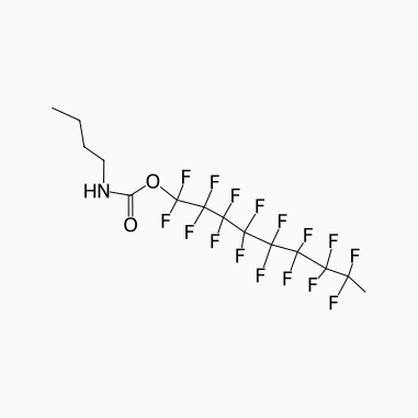 CCCCNC(=O)OC(F)(F)C(F)(F)C(F)(F)C(F)(F)C(F)(F)C(F)(F)C(F)(F)C(C)(F)F